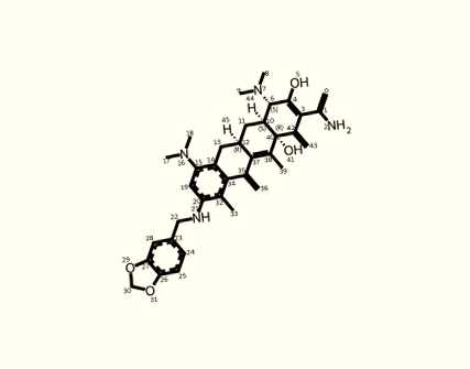 C=C(N)C1=C(O)[C@@H](N(C)C)[C@@H]2C[C@@H]3Cc4c(N(C)C)cc(NCc5ccc6c(c5)OCO6)c(C)c4C(=C)C3=C(C)[C@]2(O)C1=C